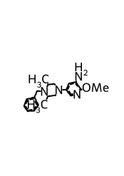 COc1ncc(N2CC(C)N(Cc3ccccc3)C(C)C2)cc1N